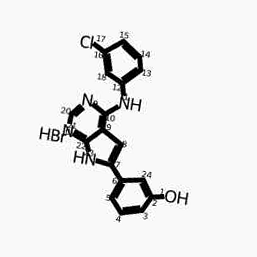 Br.Oc1cccc(-c2cc3c(Nc4cccc(Cl)c4)ncnc3[nH]2)c1